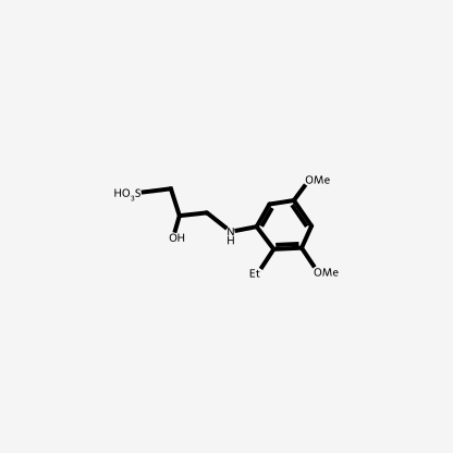 CCc1c(NCC(O)CS(=O)(=O)O)cc(OC)cc1OC